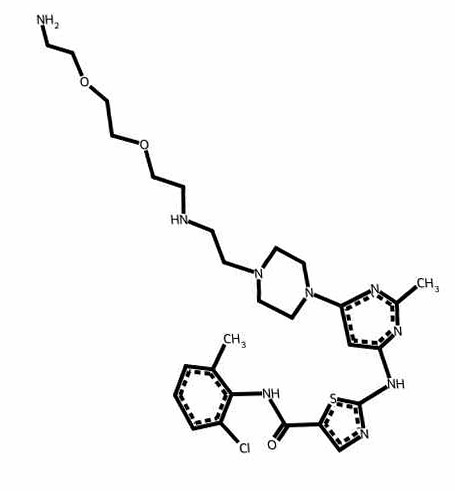 Cc1nc(Nc2ncc(C(=O)Nc3c(C)cccc3Cl)s2)cc(N2CCN(CCNCCOCCOCCN)CC2)n1